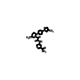 Cc1cnn(-c2ccc([C@H]3CC[C@H](C)CN3C(=O)C(=O)Nc3cncc(C(N)=O)c3)cc2)c1